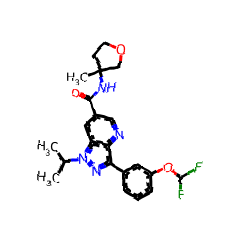 CC(C)n1nc(-c2cccc(OC(F)F)c2)c2ncc(C(=O)NC3(C)CCOC3)cc21